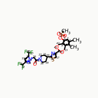 Cc1cc(OS(C)(=O)=O)c2c(c1C)COC(c1csc(C3CCN(C(=O)Cn4nc(C(F)F)cc4C(F)F)CC3)n1)OC2